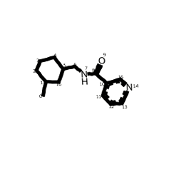 CC1CCCC(CNC(=O)c2cccnc2)C1